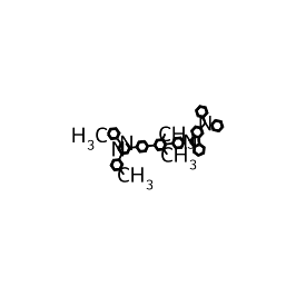 Cc1cccc(-c2cc(-c3ccc(-c4cc(C)c(-c5ccc(-n6c7ccccc7c7cc(N(c8ccccc8)c8ccccc8)ccc76)cc5)c(C)c4)cc3)nc(-c3cccc(C)c3)n2)c1